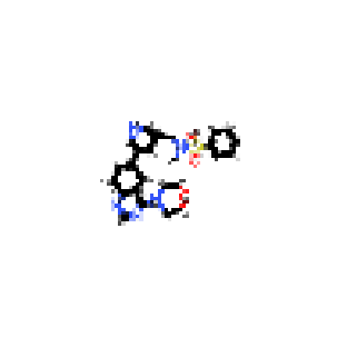 CN(Cc1cncc(-c2ccc3ncnc(N4CCOCC4)c3c2)c1)S(=O)(=O)c1ccccc1